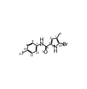 Cc1cc(C(=O)Nc2ccc(I)cc2)[nH]c1Br